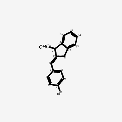 O=CC1/C(=C/c2ccc(F)cc2)Cc2ccccc21